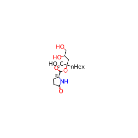 CCCCCCC(CC(O)CO)(OC(=O)[C@@H]1CCC(=O)N1)C(=O)O